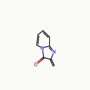 C=C1N=C2C=CC=CN2C1=O